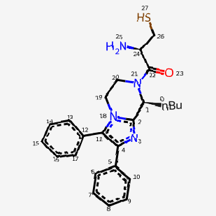 CCCC[C@H]1c2nc(-c3ccccc3)c(-c3ccccc3)n2CCN1C(=O)[C@@H](N)CS